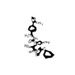 Cc1ncsc1-c1ccc([C@H](C)NC(=O)[C@@H]2C[C@@H](O)CN2C(O)[C@H](C(C)C)n2cc(Oc3ccccc3)cn2)cc1